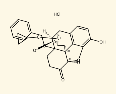 Cl.O=C1CCC2(OCc3ccccc3)[C@H]3Cc4ccc(O)c5c4[C@@]2(CC[N@+]3([O-])CC2CC2)[C@H]1O5